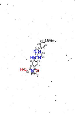 COc1ccc(-c2cnc3c(Nc4ccc(C(=O)N(C)CCO)cc4)nccn23)cc1